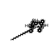 CCCCCCCCCCCCCCCc1cccc(OC(CC)(C(=O)O)C(=O)Nc2ccc(Oc3cc(C(=O)N(CC)c4ccccc4)c(O)c4ccccc34)cc2C(=O)O)c1